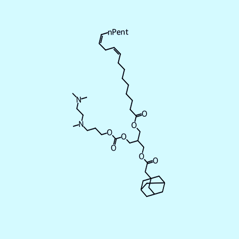 CCCCC/C=C\C/C=C\CCCCCCCC(=O)OCC(COC(=O)CC12CC3CC(CC(C3)C1)C2)COC(=O)OCCCN(C)CCN(C)C